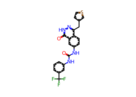 O=C(Nc1cccc(C(F)(F)F)c1)Nc1ccc2c(Cc3ccsc3)n[nH]c(=O)c2c1